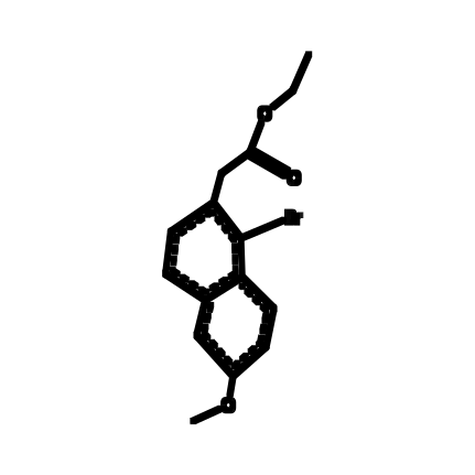 CCOC(=O)Cc1ccc2cc(OC)ccc2c1Br